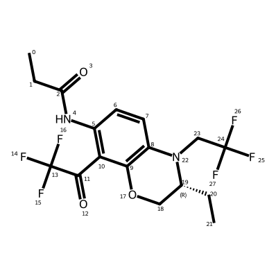 CCC(=O)Nc1ccc2c(c1C(=O)C(F)(F)F)OC[C@@H](CC)N2CC(F)(F)F